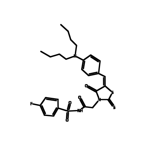 CCCCN(CCCC)c1ccc(C=C2SC(=S)N(CC(=O)NS(=O)(=O)c3ccc(F)cc3)C2=O)cc1